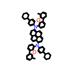 Cc1cccc2c1oc1c(N(c3ccc(C4CCCCC4)cc3)c3ccc4ccc5c(N(c6ccc(C7CCCCC7)cc6)c6cccc7c6oc6c(C)cccc67)ccc6ccc3c4c65)cccc12